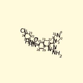 CN1CCN(c2nc(N)nc3c2CCc2cc(NC(=O)Nc4ccc(Cl)cc4)ccc2-3)CC1